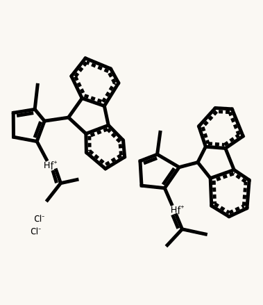 CC1=CC[C]([Hf+]=[C](C)C)=C1C1c2ccccc2-c2ccccc21.CC1=CC[C]([Hf+]=[C](C)C)=C1C1c2ccccc2-c2ccccc21.[Cl-].[Cl-]